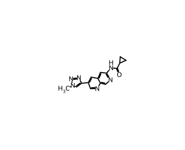 Cn1cc(-c2cnc3cnc(NC(=O)C4CC4)cc3c2)nn1